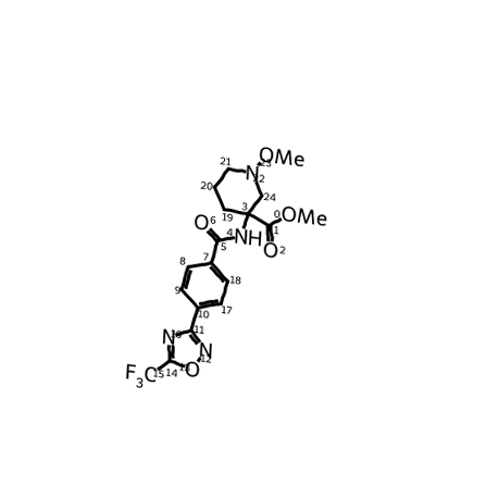 COC(=O)C1(NC(=O)c2ccc(-c3noc(C(F)(F)F)n3)cc2)CCCN(OC)C1